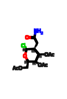 CC(=O)OC[C@H]1O[C@H](Cl)[C@H](CC(N)=O)[C@@H](OC(C)=O)[C@H]1OC(C)=O